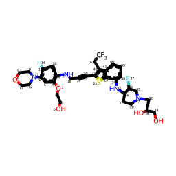 OCCOc1cc(N2CCOCC2)c(F)cc1NCC#Cc1sc2c(NC3CCN(CC(O)CO)CC3F)cccc2c1CC(F)(F)F